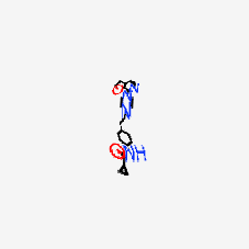 O=C(N[C@H]1CC[C@H](CCN2CCN(c3nccc4c3OCC4)CC2)CC1)C1CC1